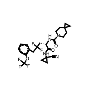 N#CC1(NC(=O)[C@H](CC(F)(F)Cc2ccccc2OC(F)(F)F)NC(=O)N2CCC3(CC2)CC3)CC1